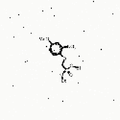 CCOP(=O)(COc1ccc(OC)cc1[N+](=O)[O-])OCC